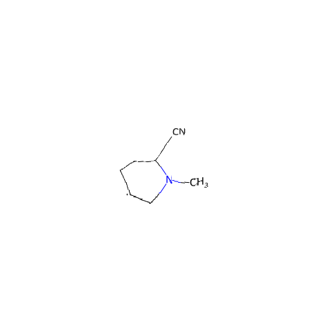 CN1C[CH]CCC1C#N